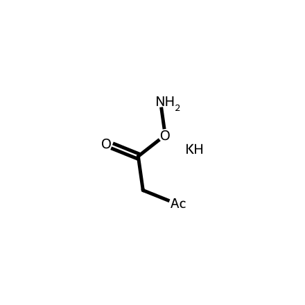 CC(=O)CC(=O)ON.[KH]